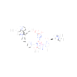 CCn1c(-c2cccnc2[C@H](C)OC)c2c3cc(ccc31)-c1cccc(n1)C[C@H](NC(=O)[C@H](C(C)C)N(C)C(=O)N1CCCN(C(=O)C#CC(C)(C)N(C)C)C1)C(=O)N1CCC[C@@](O)(N1)C(=O)OCC(C)(C)C2